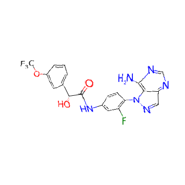 Nc1ncnc2cnn(-c3ccc(NC(=O)[C@H](O)c4cccc(OC(F)(F)F)c4)cc3F)c12